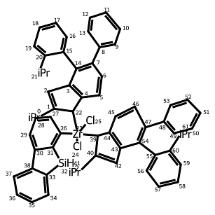 CC(C)C1=Cc2c(ccc(-c3ccccc3)c2-c2ccccc2C(C)C)[CH]1[Zr]([Cl])([Cl])([c]1cccc2c1[SiH2]c1ccccc1-2)[CH]1C(C(C)C)=Cc2c1ccc(-c1ccccc1)c2-c1ccccc1C(C)C